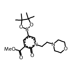 COC(=O)c1cc(B2OC(C)(C)C(C)(C)O2)cn(CCN2CCOCC2)c1=O